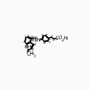 C=C/C=C\c1c(N)cccc1CNc1ccc(CCC(=O)O)cc1